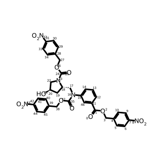 O=C(OCc1ccc([N+](=O)[O-])cc1)c1cccc(N(C[C@@H]2C[C@@H](O)CN2C(=O)OCc2ccc([N+](=O)[O-])cc2)C(=O)OCc2ccc([N+](=O)[O-])cc2)c1